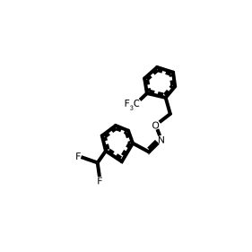 FC(F)c1cccc(/[C]=N\OCc2ccccc2C(F)(F)F)c1